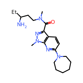 CCC(N)CCN(C)C(=O)c1nn(C)c2nc(N3CCCCCC3)ccc12